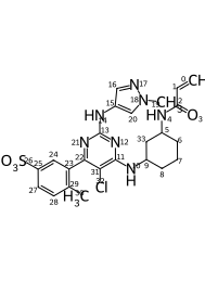 C=CC(=O)NC1CCCC(Nc2nc(Nc3cnn(C)c3)nc(-c3cc(S(=O)(=O)O)ccc3C)c2Cl)C1